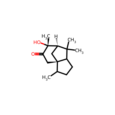 CC1CCC2C(C)(C)[C@H]3C[C@@]12CC(=O)[C@]3(C)O